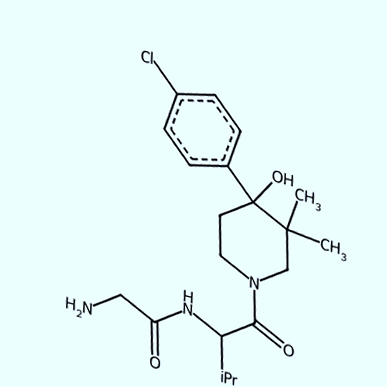 CC(C)C(NC(=O)CN)C(=O)N1CCC(O)(c2ccc(Cl)cc2)C(C)(C)C1